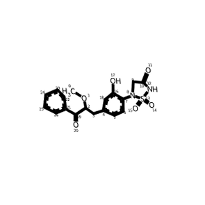 COC(Cc1ccc(N2CC(=O)NS2(=O)=O)c(O)c1)C(=O)c1ccccc1